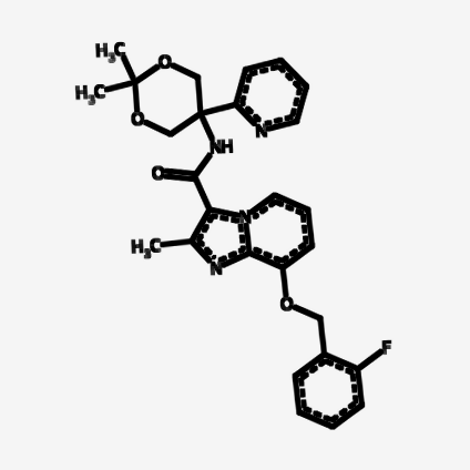 Cc1nc2c(OCc3ccccc3F)cccn2c1C(=O)NC1(c2ccccn2)COC(C)(C)OC1